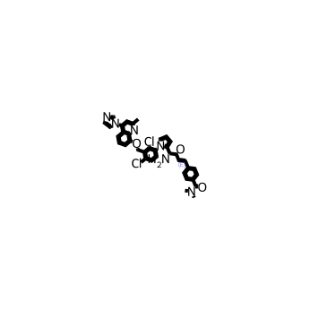 Cc1cc(-n2ccnc2)c2cccc(OCc3c(Cl)ccc(-n4cccc4C(N)C(=O)/C=C/c4ccc(C(=O)N(C)C)cc4)c3Cl)c2n1